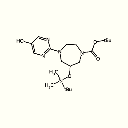 CC(C)(C)OC(=O)N1CCN(c2ncc(O)cn2)CC(O[Si](C)(C)C(C)(C)C)C1